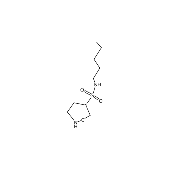 CCCCCNS(=O)(=O)N1CCNCC1